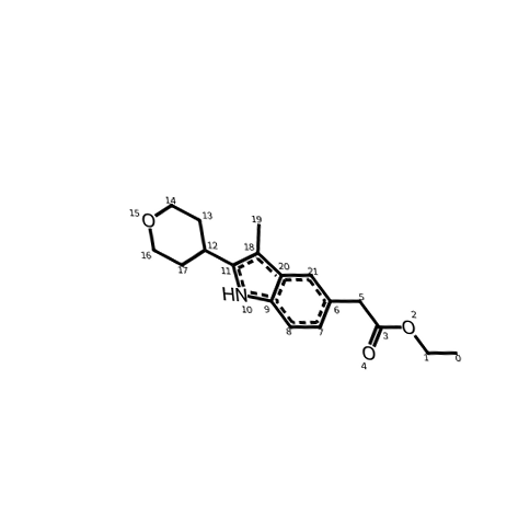 CCOC(=O)Cc1ccc2[nH]c(C3CCOCC3)c(C)c2c1